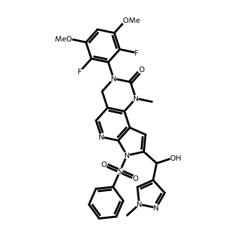 COc1cc(OC)c(F)c(N2Cc3cnc4c(cc(C(O)c5cnn(C)c5)n4S(=O)(=O)c4ccccc4)c3N(C)C2=O)c1F